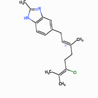 CC(C)=C(Cl)CC/C(C)=C/Cc1ccc2[nH]c(C)nc2c1